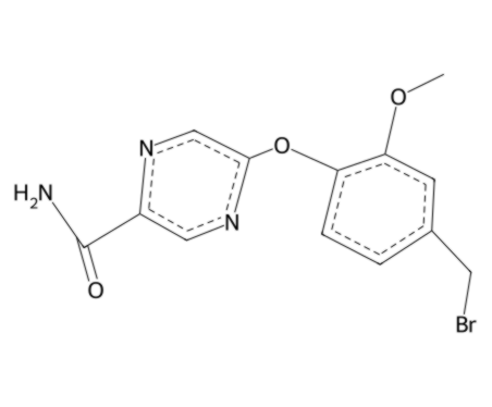 COc1cc(CBr)ccc1Oc1cnc(C(N)=O)cn1